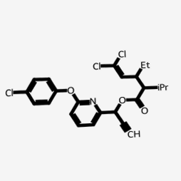 C#CC(OC(=O)C(C(C)C)C(C=C(Cl)Cl)CC)c1cccc(Oc2ccc(Cl)cc2)n1